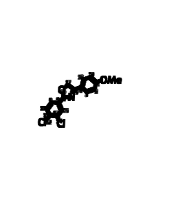 COc1ccc(C2=NC(c3ccc(Cl)c(Cl)c3)OC2)cc1